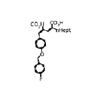 CCCCCCCC(=CC(=Cc1ccc(OCc2ccc(F)cc2)cc1)C(=O)O)C(=O)O